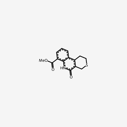 COC(=O)c1cccc2c3c(c(=O)[nH]c12)CSCC3